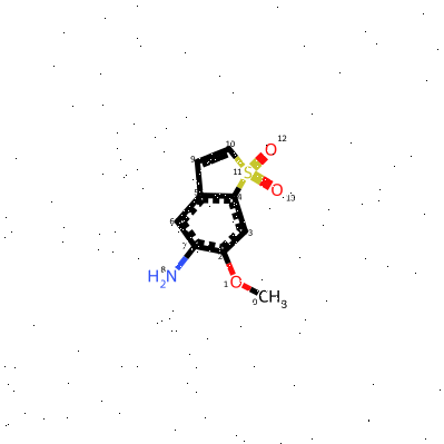 COc1cc2c(cc1N)C=CS2(=O)=O